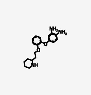 Nc1ccc(Oc2ccccc2OCCC2CCCCN2)cc1N